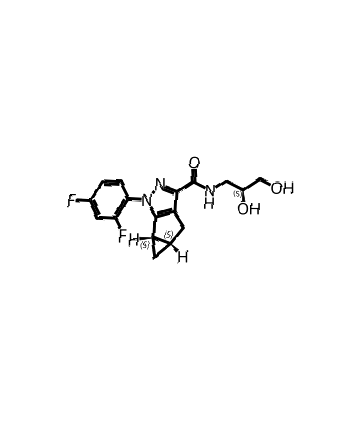 O=C(NC[C@H](O)CO)c1nn(-c2ccc(F)cc2F)c2c1C[C@@H]1C[C@H]21